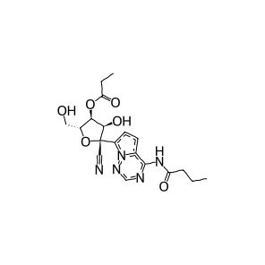 CCCC(=O)Nc1ncnn2c([C@]3(C#N)O[C@H](CO)[C@@H](OC(=O)CC)[C@H]3O)ccc12